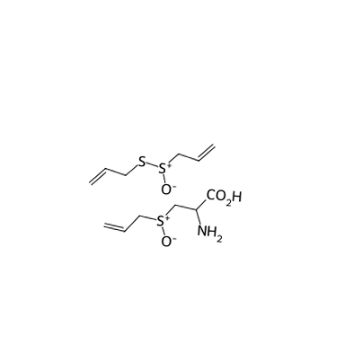 C=CCS[S+]([O-])CC=C.C=CC[S+]([O-])CC(N)C(=O)O